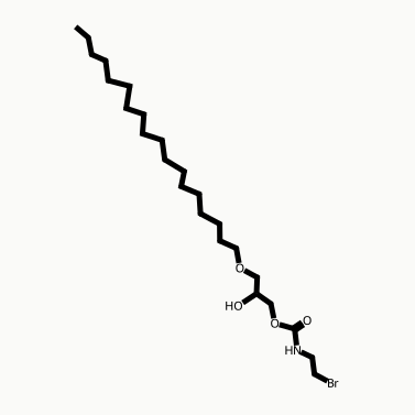 CCCCCCCCCCCCCCCCCCOCC(O)COC(=O)NCCBr